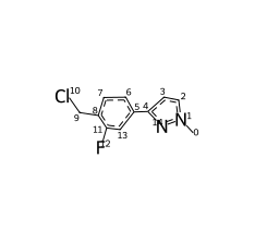 Cn1ccc(-c2ccc(CCl)c(F)c2)n1